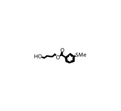 CSc1cccc(C(=O)OCCCCO)c1